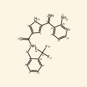 N=C(c1cc(C(=O)NCc2ccccc2C(F)(F)F)c[nH]1)c1cccnc1N